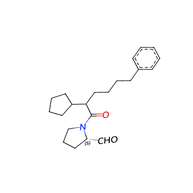 O=C[C@@H]1CCCN1C(=O)C(CCCCc1ccccc1)C1CCCC1